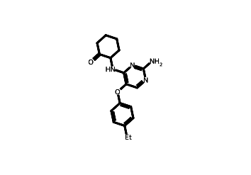 CCc1ccc(Oc2cnc(N)nc2NC2CCCCC2=O)cc1